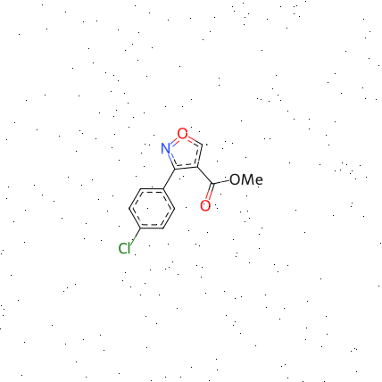 COC(=O)c1[c]onc1-c1ccc(Cl)cc1